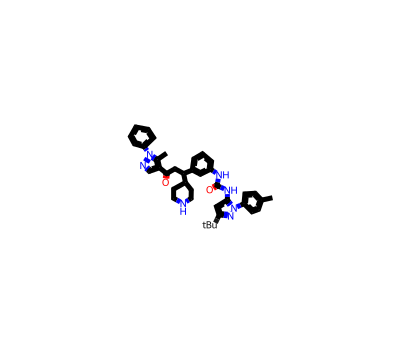 Cc1ccc(-n2nc(C(C)(C)C)cc2NC(=O)Nc2cccc(C(CC(=O)c3cnn(-c4ccccc4)c3C)C3CCNCC3)c2)cc1